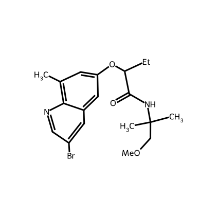 CCC(Oc1cc(C)c2ncc(Br)cc2c1)C(=O)NC(C)(C)COC